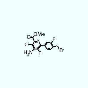 COC(=O)c1nc(-c2ccc(SC(C)C)c(F)c2)c(F)c(N)c1Cl